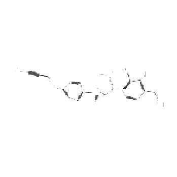 CC#CCOc1ccc(S(=O)(=O)CC(c2ccc(CN)c(CC)c2CC)N(O)C=O)cc1